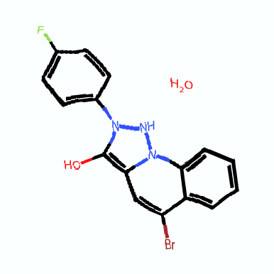 O.OC1=C2C=C(Br)c3ccccc3N2NN1c1ccc(F)cc1